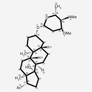 CN[C@H]1[C@@H](OC)C[C@H](O[C@H]2CC[C@@]3(C)[C@@H](CC[C@@H]4[C@@H]3CC[C@]3(C)[C@@H](C(C)=O)CC[C@]43O)C2)O[C@@H]1C